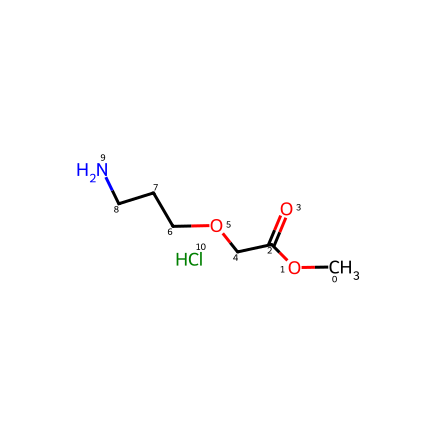 COC(=O)COCCCN.Cl